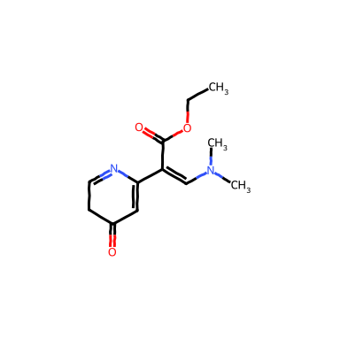 CCOC(=O)C(=CN(C)C)C1=CC(=O)CC=N1